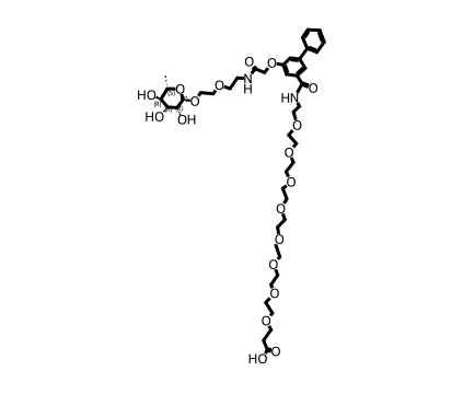 C[C@@H]1O[C@@H](OCCOCCNC(=O)COc2cc(C(=O)NCCOCCOCCOCCOCCOCCOCCOCCOCCC(=O)O)cc(-c3ccccc3)c2)[C@H](O)[C@H](O)[C@H]1O